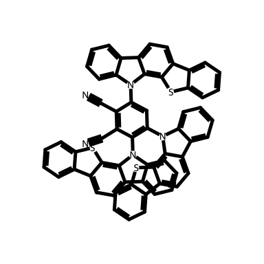 N#Cc1c(-n2c3ccccc3c3ccc4c5ccccc5sc4c32)cc(-n2c3ccccc3c3ccc4c5ccccc5sc4c32)c(-n2c3ccccc3c3ccc4c5ccccc5sc4c32)c1C#N